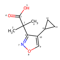 CC(C)(C(=O)O)c1nocc1C1CC1